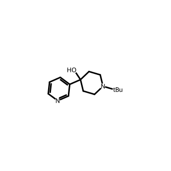 CC(C)(C)N1CCC(O)(c2cccnc2)CC1